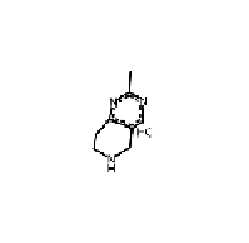 Cc1ncc2c(n1)CCNC2.Cl